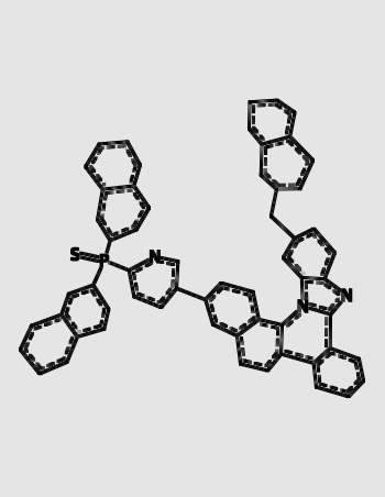 S=P(c1ccc2ccccc2c1)(c1ccc2ccccc2c1)c1ccc(-c2ccc3c(ccc4c5ccccc5c5nc6ccc(Cc7ccc8ccccc8c7)cc6n5c34)c2)cn1